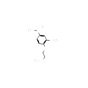 COCCOc1ccc(B(O)O)cc1OC